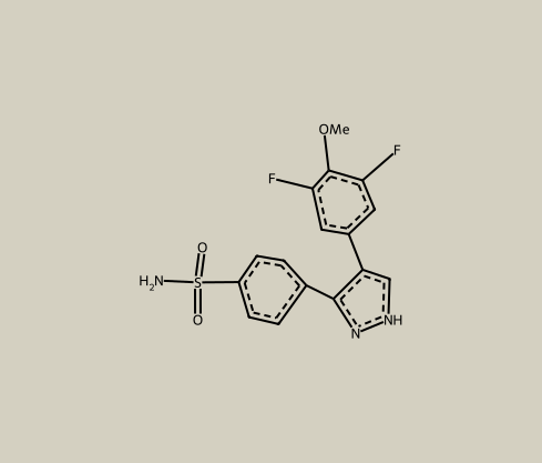 COc1c(F)cc(-c2c[nH]nc2-c2ccc(S(N)(=O)=O)cc2)cc1F